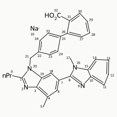 CCCc1nc2c(C)cc(-c3nc4ccccc4n3C)cc2n1Cc1ccc(-c2ccccc2C(=O)O)cc1.[Na]